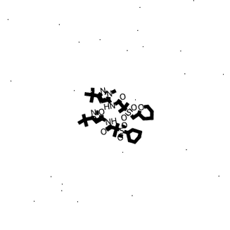 CC(C)(C)c1cc(NC(=O)C(C)(C)S(=O)(=O)C2CCCCC2)on1.Cn1nc(C(C)(C)C)cc1NC(=O)C(C)(C)S(=O)(=O)CC1CCCCO1